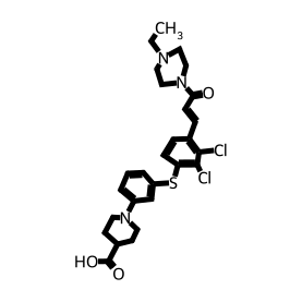 CCN1CCN(C(=O)C=Cc2ccc(Sc3cccc(N4CCC(C(=O)O)CC4)c3)c(Cl)c2Cl)CC1